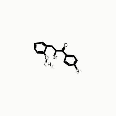 COc1ccccc1CC(Br)C(=O)c1ccc(Br)cc1